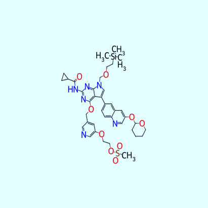 C[Si](C)(C)CCOCn1cc(-c2ccc3ncc(OC4CCCCO4)cc3c2)c2c(OCc3cncc(OCCOS(C)(=O)=O)c3)nc(NC(=O)C3CC3)nc21